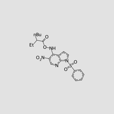 CCCCC(CC)C(=O)ONc1c([N+](=O)[O-])cnc2c1ccn2S(=O)(=O)c1ccccc1